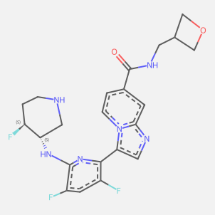 O=C(NCC1COC1)c1ccn2c(-c3nc(N[C@H]4CNCC[C@@H]4F)c(F)cc3F)cnc2c1